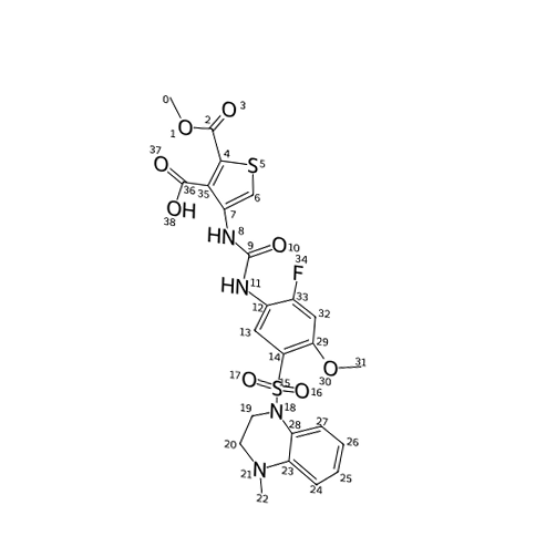 COC(=O)c1scc(NC(=O)Nc2cc(S(=O)(=O)N3CCN(C)c4ccccc43)c(OC)cc2F)c1C(=O)O